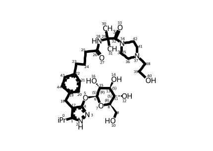 CC(C)c1[nH]nc(O[C@@H]2O[C@H](CO)[C@@H](O)[C@H](O)[C@H]2O)c1Cc1ccc(CCCC(=O)NC(C)(C)C(=O)N2CCN(CCO)CC2)cc1